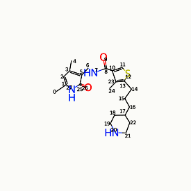 Cc1cc(C)c(CNC(=O)c2csc(CCCC3CCNCC3)c2C)c(=O)[nH]1